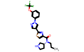 CCCN(C(=O)c1csc(-c2cnn(-c3cccc(OC(F)(F)F)c3)c2)n1)[C@@H]1CCNC1